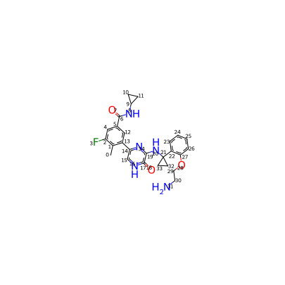 Cc1c(F)cc(C(=O)NC2CC2)cc1-c1c[nH]c(=O)c(NC2(c3ccccc3OCCN)CC2)n1